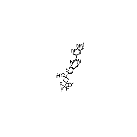 COC1(C(F)(F)F)CC(O)(c2cc3cnc(-c4cnc5nn(C)cc5c4)nc3s2)C1